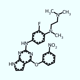 CN(C)CCN(C)c1ccc(Nc2nc(Oc3cccc([N+](=O)[O-])c3)c3cc[nH]c3n2)cc1F